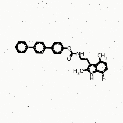 Cc1[nH]c2c(F)ccc(C)c2c1CCNC(=O)Oc1ccc(-c2ccc(-c3ccccc3)cc2)cc1